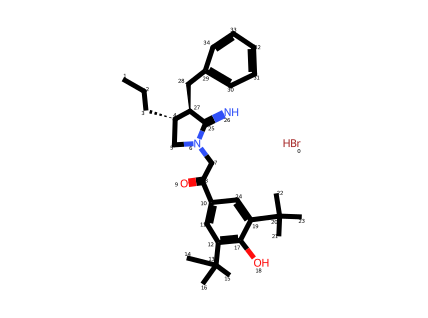 Br.CCC[C@H]1CN(CC(=O)c2cc(C(C)(C)C)c(O)c(C(C)(C)C)c2)C(=N)[C@@H]1Cc1ccccc1